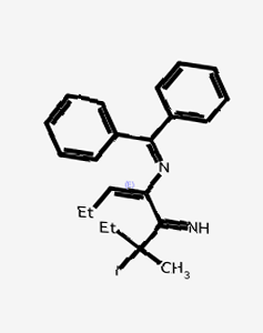 CC/C=C(/N=C(c1ccccc1)c1ccccc1)C(=N)C(C)(I)CC